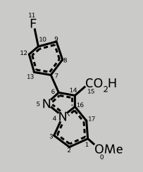 COc1ccn2nc(-c3ccc(F)cc3)c(C(=O)O)c2c1